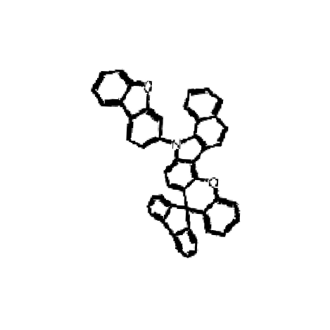 c1ccc2c(c1)Oc1c(ccc3c1c1ccc4ccccc4c1n3-c1ccc3c(c1)oc1ccccc13)C21c2ccccc2-c2ccccc21